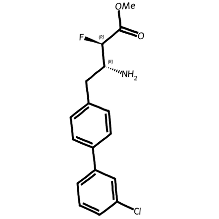 COC(=O)[C@H](F)[C@H](N)Cc1ccc(-c2cccc(Cl)c2)cc1